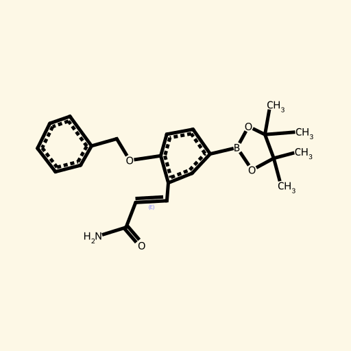 CC1(C)OB(c2ccc(OCc3ccccc3)c(/C=C/C(N)=O)c2)OC1(C)C